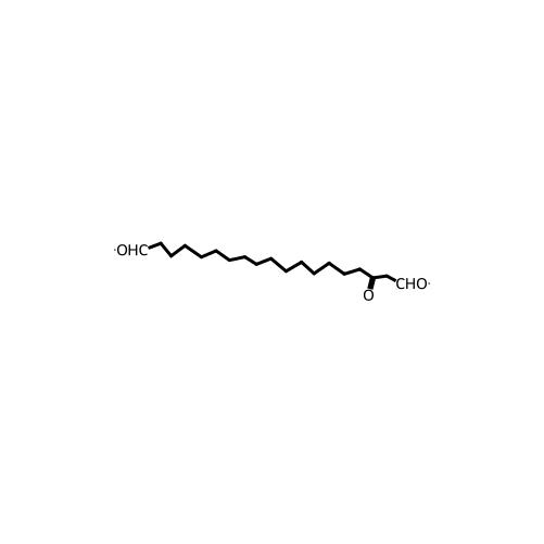 O=[C]CCCCCCCCCCCCCCCC(=O)C[C]=O